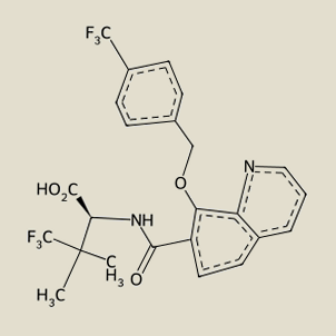 CC(C)([C@H](NC(=O)c1ccc2cccnc2c1OCc1ccc(C(F)(F)F)cc1)C(=O)O)C(F)(F)F